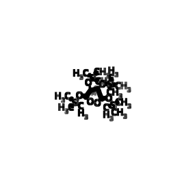 C[Si](C)(C)OC(=O)[C@H](O[Si](C)(C)C)[C@@H](O[Si](C)(C)C)C(=O)O[Si](C)(C)C